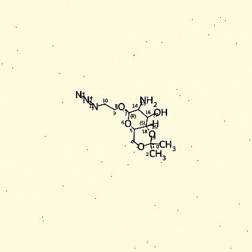 CC1(C)OCC2O[C@@H](OCCN=[N+]=[N-])C(N)C(O)[C@@H]2O1